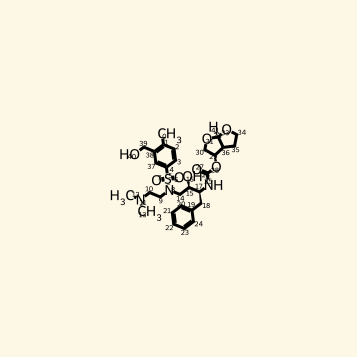 Cc1ccc(S(=O)(=O)N(CCN(C)C)C[C@@H](O)[C@H](Cc2ccccc2)NC(=O)O[C@H]2CO[C@H]3OCCC32)cc1CO